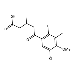 COc1c(Cl)cc(C(=O)CC(C)CC(=O)S)c(F)c1C